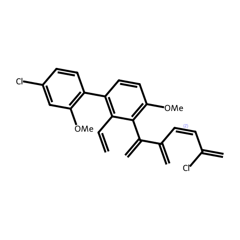 C=Cc1c(-c2ccc(Cl)cc2OC)ccc(OC)c1C(=C)C(=C)/C=C\C(=C)Cl